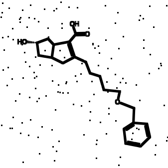 O=C(O)C1=C(CCCCCOCc2ccccc2)CC2C[C@H](O)CC12